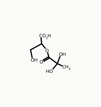 CC(O)(O)C(=O)OC(CO)C(=O)O